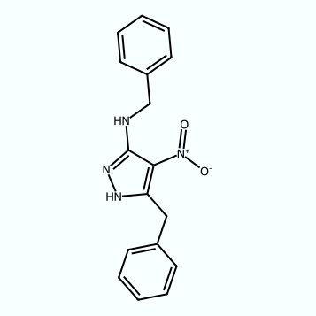 O=[N+]([O-])c1c(NCc2ccccc2)n[nH]c1Cc1ccccc1